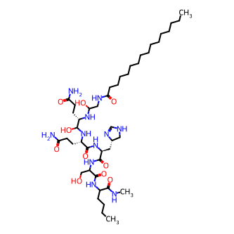 CCCCCCCCCCCCCCCC(=O)NCC(O)N[C@@H](CCC(N)=O)C(O)N[C@@H](CCC(N)=O)C(=O)N[C@@H](C[C@H]1CNC=N1)C(=O)NC(CO)C(=O)NC(CCCC)C(=O)NC